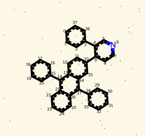 c1ccc(-c2cnccc2-c2ccc3c(-c4ccccc4)c4ccccc4c(-c4ccccc4)c3c2)cc1